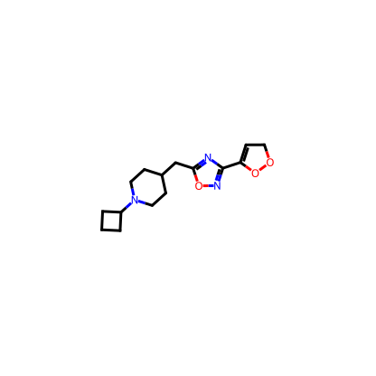 C1=C(c2noc(CC3CCN(C4CCC4)CC3)n2)OOC1